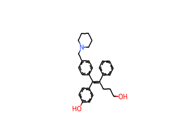 OCCC/C(=C(\c1ccc(O)cc1)c1ccc(CN2CCCCC2)cc1)c1ccccc1